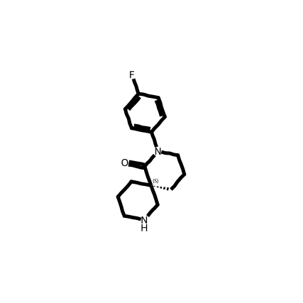 O=C1N(c2ccc(F)cc2)CCC[C@]12CCCNC2